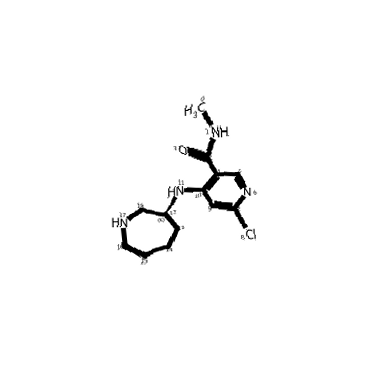 CNC(=O)c1cnc(Cl)cc1N[C@H]1CCCCNC1